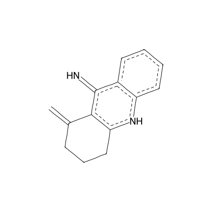 C=C1CCCc2[nH]c3ccccc3c(=N)c21